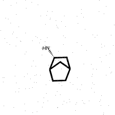 [NH][C@@H]1CC2CCC1C2